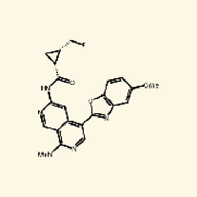 CNc1ncc(-c2nc3cc(OC)ccc3o2)c2cc(NC(=O)[C@@H]3C[C@@H]3CF)ncc12